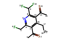 CC(=S)c1c(CF)nc(C(F)F)c(C(C)=S)c1CC(C)C